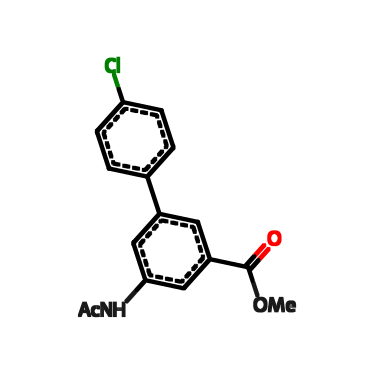 COC(=O)c1cc(NC(C)=O)cc(-c2ccc(Cl)cc2)c1